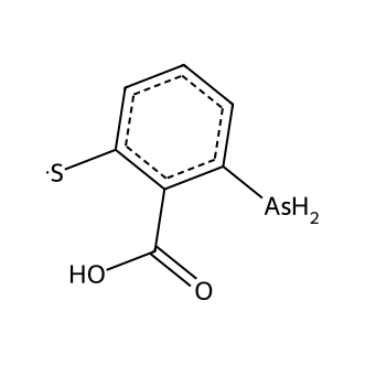 O=C(O)c1c([S])cccc1[AsH2]